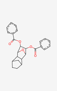 O=C(OC1C(OC(=O)c2ccccc2)C2OC1C1C3CCC(C3)C21)c1ccccc1